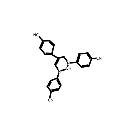 N#Cc1ccc(C2=CN(c3ccc(C#N)cc3)NN(c3ccc(C#N)cc3)C2)cc1